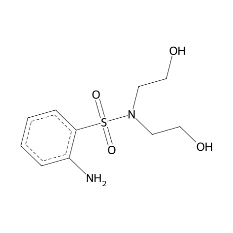 Nc1ccccc1S(=O)(=O)N(CCO)CCO